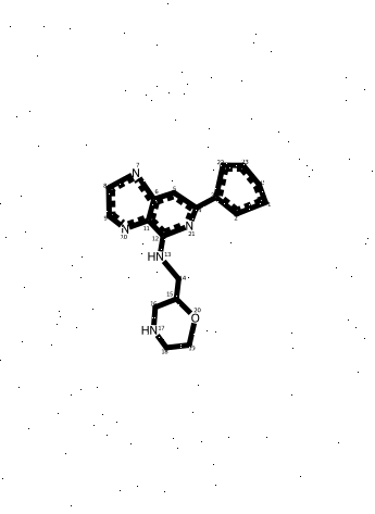 c1ccc(-c2cc3nccnc3c(NCC3CNCCO3)n2)cc1